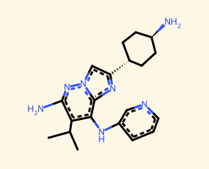 CC(C)c1c(N)nn2cc([C@H]3CC[C@H](N)CC3)nc2c1Nc1cccnc1